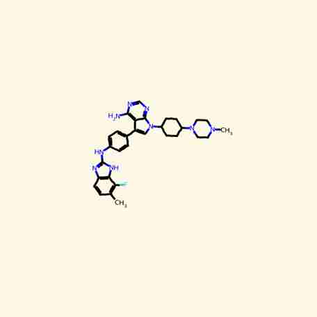 Cc1ccc2nc(Nc3ccc(-c4cn(C5CCC(N6CCN(C)CC6)CC5)c5ncnc(N)c45)cc3)[nH]c2c1F